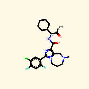 CNC(=O)[C@@H](NC(=O)c1nc(-c2cc(Cl)c(F)cc2F)n2c1CN(C)CCC2)C1CCCCC1